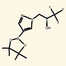 CC1(C)OB(c2cnn(C[C@H](O)C(F)(F)F)c2)OC1(C)C